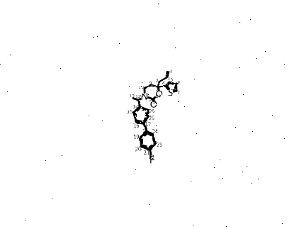 C=CCC1(c2cccs2)CCN(C(C)c2ccc(-c3ccc(F)cc3)cc2)C(=O)O1